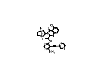 CC(Nc1ncnc(N)c1C#Cc1cnccn1)c1nc2cccc(Cl)c2c(=O)n1C1C[C@H]2CC[C@@H](C1)N2